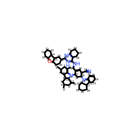 CC1CC(C)C2C(C1)C1CC(C)CC(C)C1N2C1CC(N2C3=C(CCC=C3)C3CCCCC32)C(C#N)C=C1CNC(NC(N)C1CCC2OC3CCCCC3C2C1)C1CCCCC1